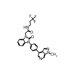 Cn1ncc2c(-c3ccc(-n4c(=O)n(CC(=O)NCCC(F)(F)F)c5ccccc54)cc3)cncc21